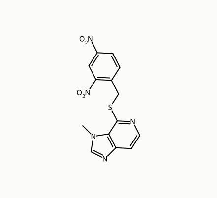 Cn1cnc2ccnc(SCc3ccc([N+](=O)[O-])cc3[N+](=O)[O-])c21